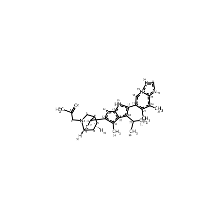 CC(=O)CN1CC2CC[C@H]1C[C@@H]2c1sc2[nH]c(-c3cn4ncnc4c(C)c3C)c(C(C)C)c2c1C